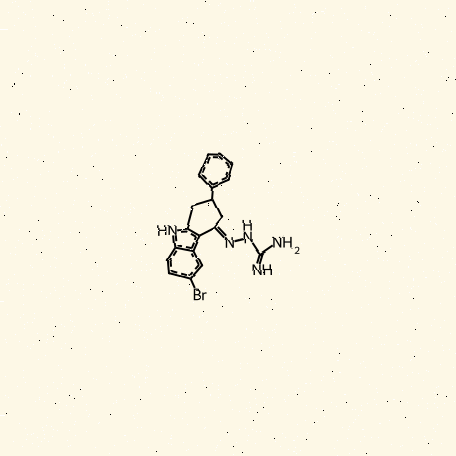 N=C(N)NN=C1CC(c2ccccc2)Cc2[nH]c3ccc(Br)cc3c21